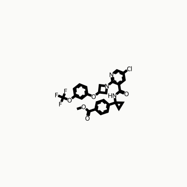 COC(=O)c1ccc(C2(NC(=O)c3cc(Cl)cnc3N3CC(Oc4cccc(OC(F)(F)F)c4)C3)CC2)cc1